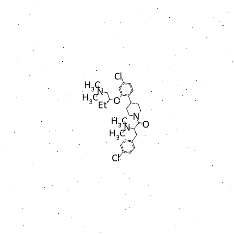 CC[C@@H](CN(C)C)Oc1cc(Cl)ccc1C1CCN(C(=O)[C@@H](Cc2ccc(Cl)cc2)N(C)C)CC1